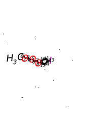 CCOCCOCCOc1ccc(I)cc1